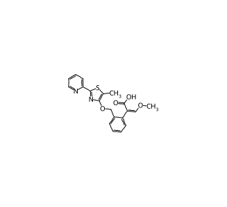 COC=C(C(=O)O)c1ccccc1COc1nc(-c2ccccn2)sc1C